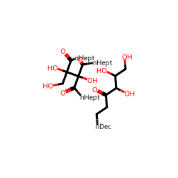 CCCCCCCC(=O)C(O)(CO)C(O)(C(=O)CCCCCCC)C(=O)CCCCCCC.CCCCCCCCCCCCC(=O)C(O)C(O)CO